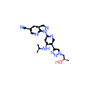 CC(C)Nc1cc(-n2ncc3cc(C#N)cnc32)ncc1-c1cn(C[C@@H](C)O)nn1